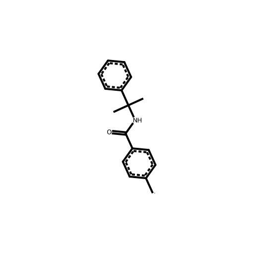 [CH2]c1ccc(C(=O)NC(C)(C)c2ccccc2)cc1